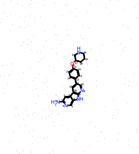 Nc1cc2c(cn1)[nH]c1ncc(-c3ccc(OC4CCCNC4)cc3)cc12